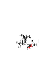 COc1cnc(O[C@@H]2C[C@H]3C(=O)N[C@]4(C(=O)NS(=O)(=O)C5(CF)CC5)C[C@H]4C=CCC[C@@H](C)C[C@@H](C)[C@H](N(C(=O)O)C4(C(F)(F)F)COC4)C(=O)N3C2)c2ccccc12